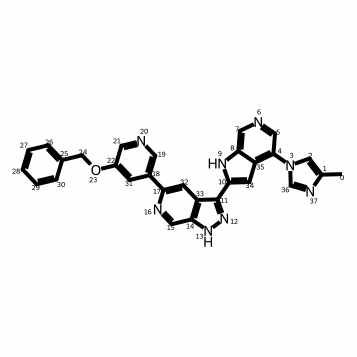 Cc1cn(-c2cncc3[nH]c(-c4n[nH]c5cnc(-c6cncc(OCc7ccccc7)c6)cc45)cc23)cn1